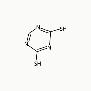 Sc1ncnc(S)n1